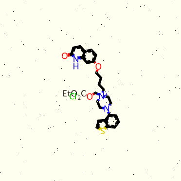 CCOC(=O)OC[N+]1(CCCCOc2ccc3ccc(=O)[nH]c3c2)CCN(c2cccc3sccc23)CC1.[Cl-]